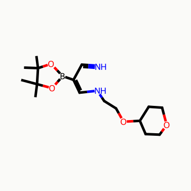 CC1(C)OB(/C(C=N)=C/NCCOC2CCOCC2)OC1(C)C